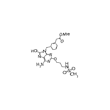 COC(=O)Cc1cccc(Cn2c(O)nc3c(N)nc(OCCCNS(C)(=O)=O)nc32)c1